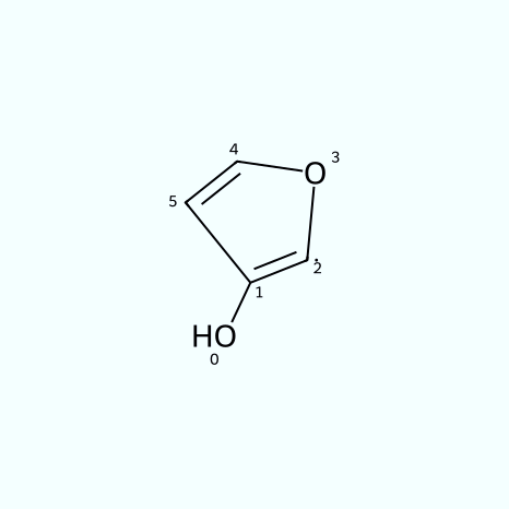 Oc1[c]occ1